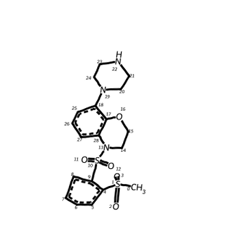 CS(=O)(=O)c1ccccc1S(=O)(=O)N1CCOc2c(N3CCNCC3)cccc21